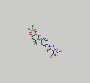 Cc1nc(C(=O)Nc2cnc(-c3cc4c(cc3Cl)OC(F)(F)O4)cn2)c(C)o1